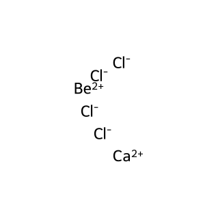 [Be+2].[Ca+2].[Cl-].[Cl-].[Cl-].[Cl-]